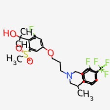 CC(CN(CCCOc1cc(F)c(C(C)(C)O)c(S(C)(=O)=O)c1)Cc1cccc(C(F)(F)F)c1F)c1ccc(F)cc1